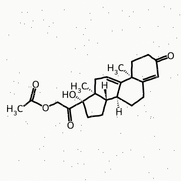 CC(=O)OCC(=O)[C@]1(O)CC[C@H]2[C@@H]3CCC4=CC(=O)CC[C@]4(C)C3=CC[C@@]21C